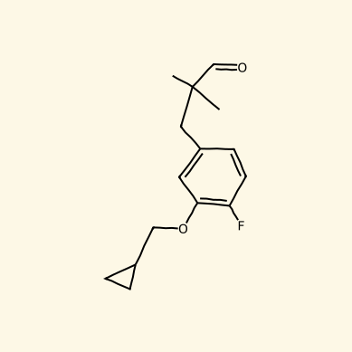 CC(C)(C=O)Cc1ccc(F)c(OCC2CC2)c1